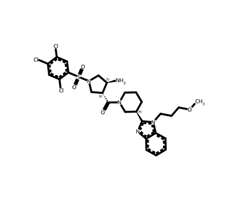 COCCCn1c([C@@H]2CCCN(C(=O)[C@@H]3CN(S(=O)(=O)c4cc(Cl)c(Cl)cc4Cl)C[C@H]3N)C2)nc2ccccc21